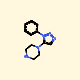 c1ccc(-n2nncc2N2CCNCC2)cc1